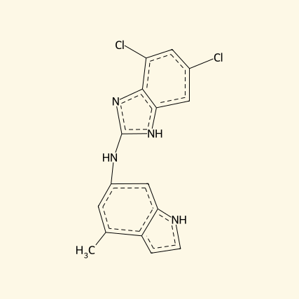 Cc1cc(Nc2nc3c(Cl)cc(Cl)cc3[nH]2)cc2[nH]ccc12